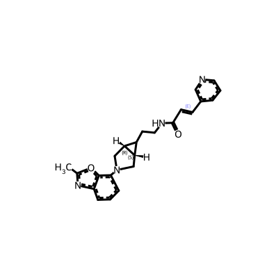 Cc1nc2cccc(N3C[C@@H]4C(CCNC(=O)/C=C/c5cccnc5)[C@@H]4C3)c2o1